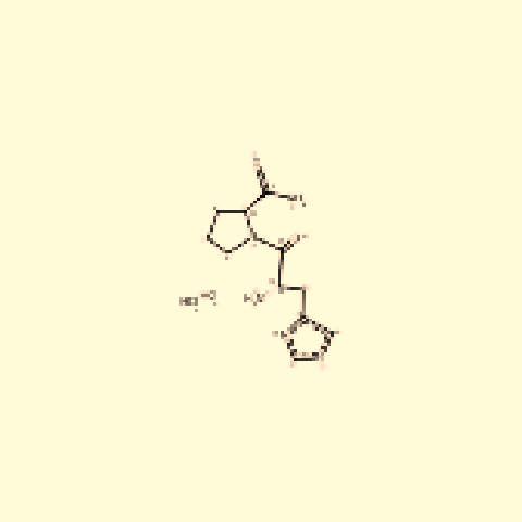 Cl.Cl.NC(=O)[C@@H]1CCCN1C(=O)[C@@H](N)Cc1cscn1